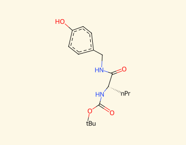 CCC[C@H](NC(=O)OC(C)(C)C)C(=O)NCc1ccc(O)cc1